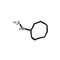 BBC1CCCCCCC1